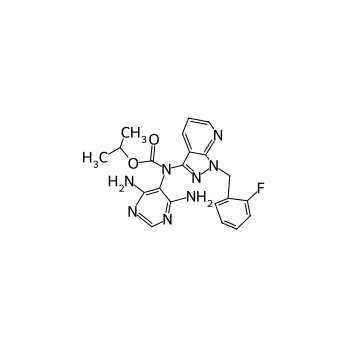 CC(C)OC(=O)N(c1c(N)ncnc1N)c1nn(Cc2ccccc2F)c2ncccc12